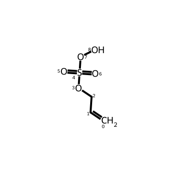 C=CCOS(=O)(=O)OO